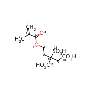 C=C(C)C(=O)OCCC(CC(=O)O)(C(=O)O)S(=O)(=O)O